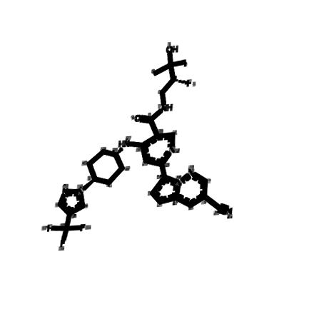 CC(C)(O)[C@H](F)CNC(=O)c1cnc(-c2ccc3cc(C#N)cnn23)cc1N[C@H]1CC[C@H](n2cc(C(F)(F)F)cn2)CC1